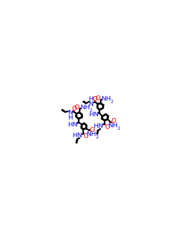 C=CCNC(=O)c1cc(C(=N)c2ccc(C(N)=O)c(C(=O)NCC=C)c2)ccc1C(N)=O.C=CCNC(=O)c1cc(C(=N)c2ccc(C(N)=O)c(C(=O)NCC=C)c2)ccc1C(N)=O